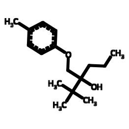 CCCC(O)(COc1ccc(C)cc1)C(C)(C)C